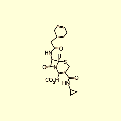 O=C(CC1=CCC=CC1)NC1C(=O)N2C(C(=O)O)=C(C(=O)NC3CC3)CS[C@@H]12